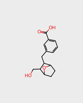 O=C(O)c1cccc(CC2C3CCC(O3)C2CO)c1